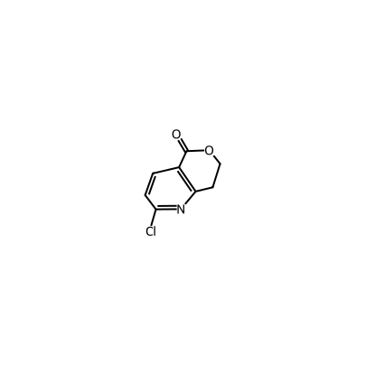 O=C1OCCc2nc(Cl)ccc21